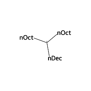 CCCCCCCCCC[C](CCCCCCCC)CCCCCCCC